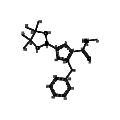 CNC(=O)c1cc(B2OC(C)(C)C(C)(C)O2)cn1Cc1ccccc1